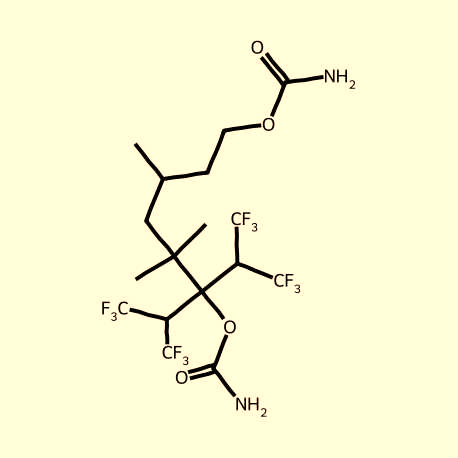 CC(CCOC(N)=O)CC(C)(C)C(OC(N)=O)(C(C(F)(F)F)C(F)(F)F)C(C(F)(F)F)C(F)(F)F